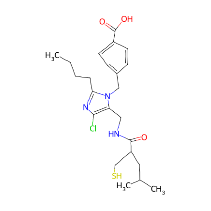 CCCCc1nc(Cl)c(CNC(=O)C(CS)CC(C)C)n1Cc1ccc(C(=O)O)cc1